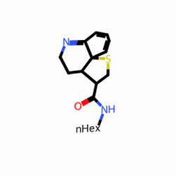 CCCCCCNC(=O)C1CSC23C=CC=CC2=NCCC13